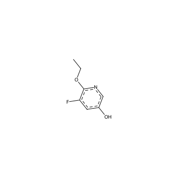 CCOc1ncc(O)cc1F